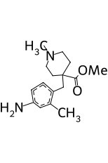 COC(=O)C1(Cc2ccc(N)cc2C)CCN(C)CC1